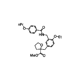 CCCOc1ccc(C(=O)NCc2cc(CC3(C(=O)OC)CCCO3)ccc2OCC)cc1